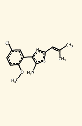 COc1ccc(Cl)cc1-c1nc(C=C(C)C)sc1N